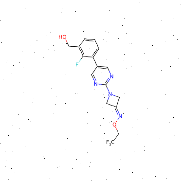 OCc1cccc(-c2cnc(N3CC(=NOCC(F)(F)F)C3)nc2)c1F